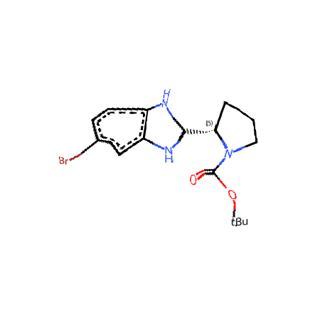 CC(C)(C)OC(=O)N1CCC[C@H]1C1Nc2ccc(Br)cc2N1